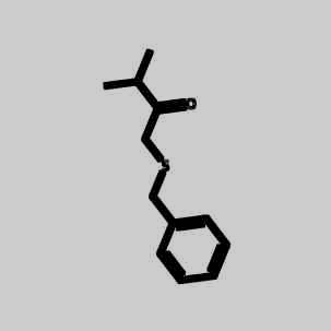 CC(C)C(=O)CSCc1ccccc1